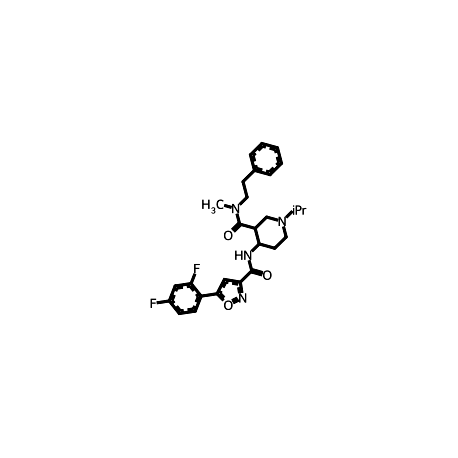 CC(C)N1CCC(NC(=O)c2cc(-c3ccc(F)cc3F)on2)C(C(=O)N(C)CCc2ccccc2)C1